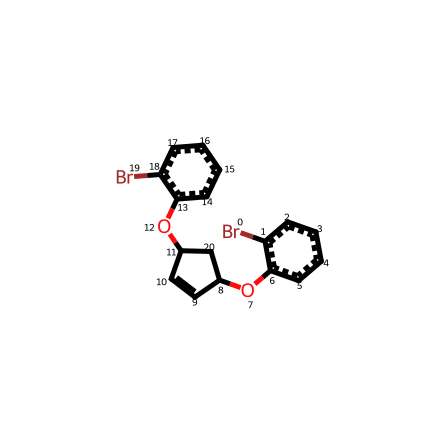 Brc1ccccc1OC1C=CC(Oc2ccccc2Br)C1